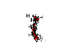 CC(=O)c1c(C)c2cnc(Nc3ccc(N4CCN(CC(=O)NCCOCCOCCC(=O)Nc5ccccc5C(=O)Nc5ncc(C)s5)CC4)cn3)nc2n(C2CCCC2)c1=O